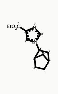 CCOC(=O)c1cn(C2CC3CCC2C3)cn1